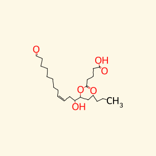 CCCCCC(OC(=O)CCCC(=O)O)C(O)C/C=C\CCCCCCCC=O